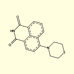 O=C1NC(=O)c2ccc(N3CCSCC3)c3cccc1c23